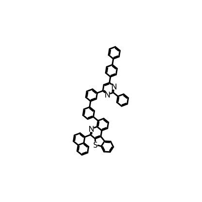 c1ccc(-c2ccc(-c3cc(-c4cccc(-c5cccc(-c6cccc7c6nc(-c6cccc8ccccc68)c6sc8ccccc8c67)c5)c4)nc(-c4ccccc4)n3)cc2)cc1